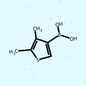 Cc1scc(B(O)O)c1C